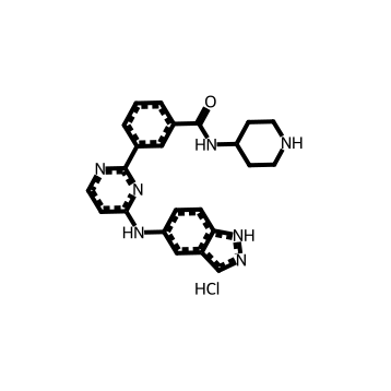 Cl.O=C(NC1CCNCC1)c1cccc(-c2nccc(Nc3ccc4[nH]ncc4c3)n2)c1